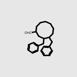 O=CC1CCCCCCC(Cc2ccccc2)C(Cc2ccccc2)C1